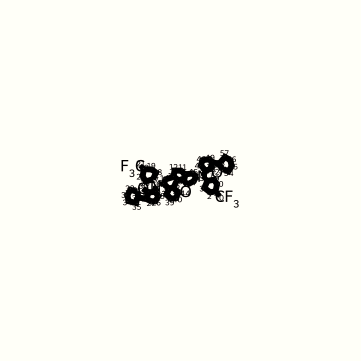 FC(F)(F)c1ccc(N(c2cc3c4c(ccc5cc(N(c6ccc(C(F)(F)F)cc6)c6cccc7c6oc6ccccc67)c6cccc(c6c54)O3)c2)c2cccc3c2oc2ccccc23)cc1